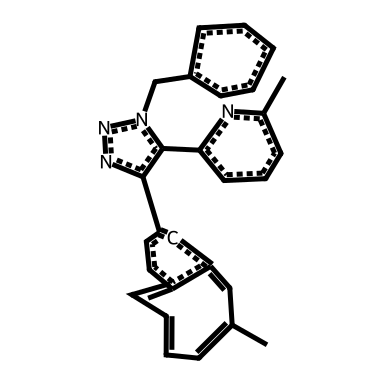 CC1=C/C=C/C=c2\ccc(-c3nnn(Cc4ccccc4)c3-c3cccc(C)n3)c\c2=C\1